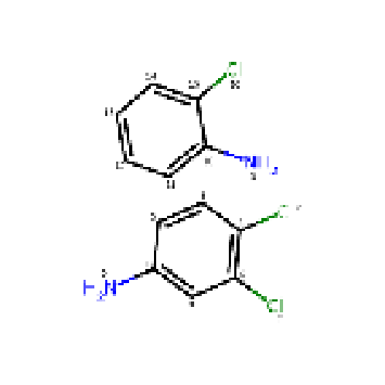 Nc1ccc(Cl)c(Cl)c1.Nc1ccccc1Cl